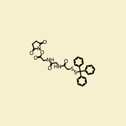 O=C(CNC(=O)CSSC(c1ccccc1)(c1ccccc1)c1ccccc1)NCC(=O)ON1C(=O)CCC1=O